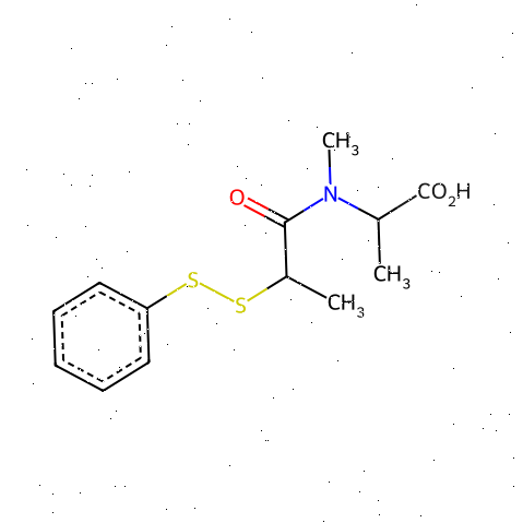 CC(SSc1ccccc1)C(=O)N(C)C(C)C(=O)O